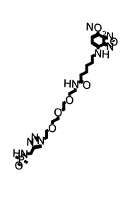 CP(C)(=O)NCc1cn(CCOCCOCCOCCNC(=O)CCCCCNc2ccc([N+](=O)[O-])c3nonc23)nn1